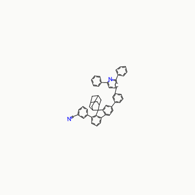 N#Cc1cccc(-c2cccc3c2C2(c4cc(-c5cccc(-c6cc(-c7ccccc7)nc(-c7ccccc7)c6)c5)ccc4-3)C3CC4CC(C3)CC2C4)c1